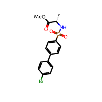 COC(=O)[C@H](C)NS(=O)(=O)c1ccc(-c2ccc(Br)cc2)cc1